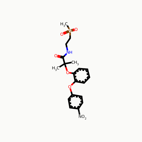 CC(C)(Oc1ccccc1Oc1ccc([N+](=O)[O-])cc1)C(=O)NCCS(C)(=O)=O